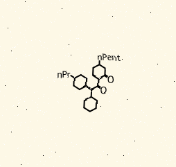 CCCCCC1CCC(C(=O)C(C2CCCCC2)C2CCC(CCC)CC2)C(=O)C1